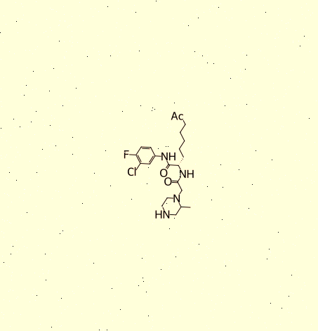 CC(=O)CCCCC[C@H](NC(=O)CN1CCNCC1C)C(=O)Nc1ccc(F)c(Cl)c1